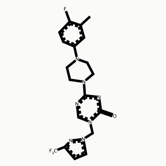 Cc1cc(N2CCN(c3ncn(Cn4ccc(C(F)(F)F)n4)c(=O)n3)CC2)ccc1F